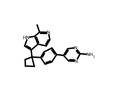 Cc1nccc2c(C3(c4ccc(-c5cnc(N)nc5)cc4)CCC3)c[nH]c12